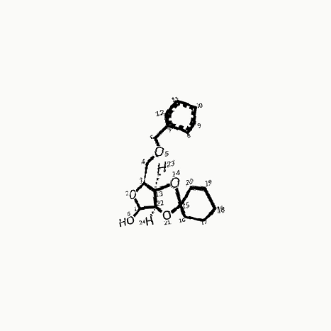 OC1O[C@@H](COCc2ccccc2)[C@H]2OC3(CCCCC3)O[C@@H]12